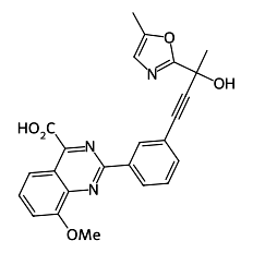 COc1cccc2c(C(=O)O)nc(-c3cccc(C#CC(C)(O)c4ncc(C)o4)c3)nc12